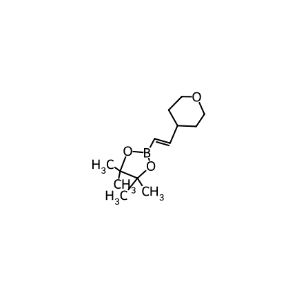 CC1(C)OB(C=CC2CCOCC2)OC1(C)C